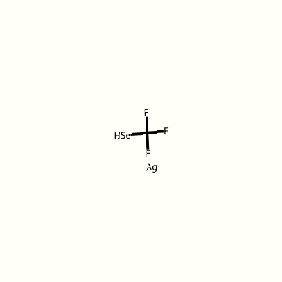 FC(F)(F)[SeH].[Ag]